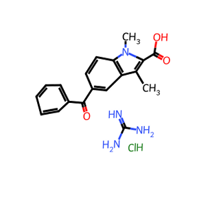 Cc1c(C(=O)O)n(C)c2ccc(C(=O)c3ccccc3)cc12.Cl.N=C(N)N